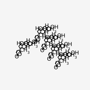 C[C@]12CC[C@H](O)C[C@H]1CC[C@@H]1[C@@H]2CC[C@]2(C)[C@@H](c3ccc(=O)oc3)C[C@H]3O[C@]132.C[C@]12CC[C@H](O)C[C@H]1CC[C@@H]1[C@@H]2CC[C@]2(C)[C@@H](c3ccc(=O)oc3)C[C@H]3O[C@]132.C[C@]12CC[C@H](O)C[C@H]1CC[C@@H]1[C@@H]2CC[C@]2(C)[C@@H](c3ccc(=O)oc3)C[C@H]3O[C@]132.C[C@]12CC[C@H](O)C[C@H]1CC[C@@H]1[C@@H]2CC[C@]2(C)[C@@H](c3ccc(=O)oc3)C[C@H]3O[C@]132.C[C@]12CC[C@H](O)C[C@H]1CC[C@@H]1[C@@H]2CC[C@]2(C)[C@@H](c3ccc(=O)oc3)C[C@H]3O[C@]132